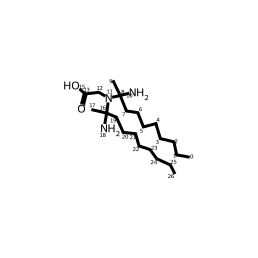 CCCCCCCCC(C)(N)N(CC(=O)O)C(C)(N)CCCCCCCC